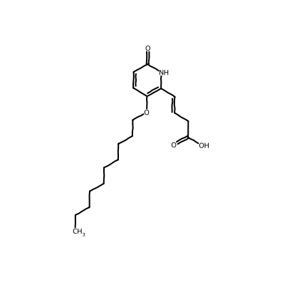 CCCCCCCCCCOc1ccc(=O)[nH]c1C=CCC(=O)O